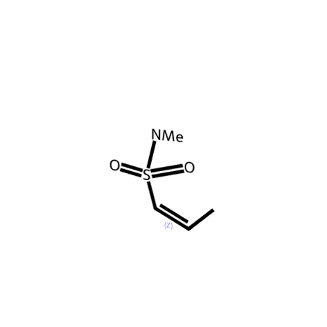 C/C=C\S(=O)(=O)NC